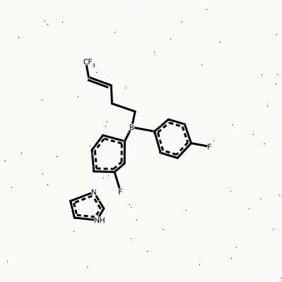 Fc1ccc(B(CCC=CC(F)(F)F)c2cccc(F)c2)cc1.c1c[nH]cn1